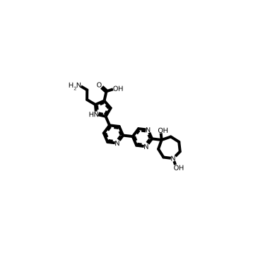 NCCc1[nH]c(-c2ccnc(-c3cnc(C4(O)CCCN(O)CC4)nc3)c2)cc1C(=O)O